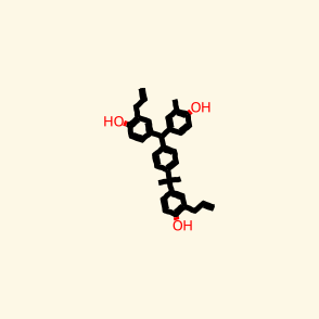 C=CCc1cc(C(c2ccc(C(C)(C)c3ccc(O)c(CC=C)c3)cc2)c2ccc(O)c(C)c2)ccc1O